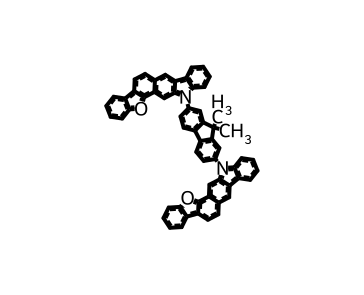 CC1(C)c2cc(-n3c4ccccc4c4cc5ccc6c7ccccc7oc6c5cc43)ccc2-c2ccc(-n3c4ccccc4c4cc5ccc6c7ccccc7oc6c5cc43)cc21